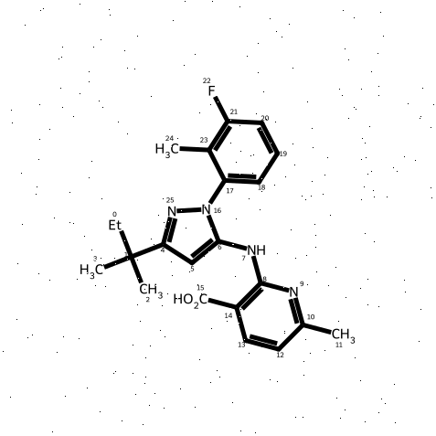 CCC(C)(C)c1cc(Nc2nc(C)ccc2C(=O)O)n(-c2cccc(F)c2C)n1